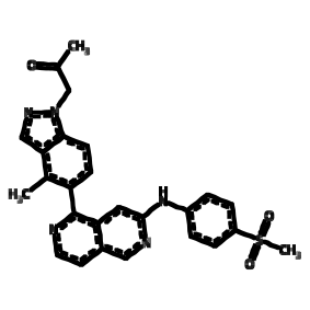 CC(=O)Cn1ncc2c(C)c(-c3nccc4cnc(Nc5ccc(S(C)(=O)=O)cc5)cc34)ccc21